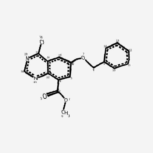 COC(=O)c1cc(OCc2ccccc2)cc2c(Cl)ncnc12